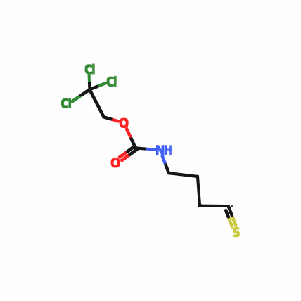 O=C(NCCC[C]=S)OCC(Cl)(Cl)Cl